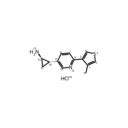 Cc1cscc1-c1ccc([C@@H]2C[C@H]2N)cn1.Cl